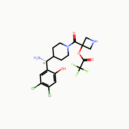 N[C@@H](c1cc(Cl)c(Cl)cc1O)C1CCN(C(=O)C2(OC(=O)C(F)(F)F)CNC2)CC1